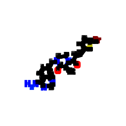 CCC1C(=O)N(Cc2ccc3c(N)ncnc3c2)CCN1C(=O)/C=C/c1ccc(Br)s1